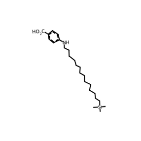 C[Si](C)(C)CCCCCCCCCCCCCCNc1ccc(C(=O)O)cc1